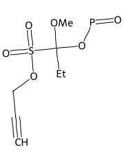 C#CCOS(=O)(=O)C(CC)(OC)OP=O